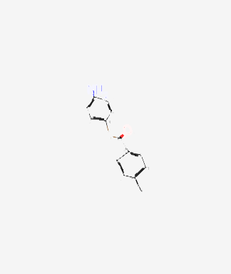 Cc1ccc(C(=O)Sc2ccc(N)cc2)cc1